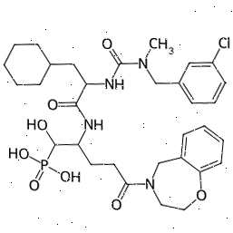 CN(Cc1cccc(Cl)c1)C(=O)NC(CC1CCCCC1)C(=O)NC(CCC(=O)N1CCOc2ccccc2C1)C(O)P(=O)(O)O